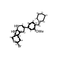 COc1cc(C2=CNc3[nH]c4cnc(Br)cc4c3C2)ccc1CN1CCCCC1